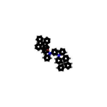 c1ccc(C2(c3ccccc3)c3ccccc3-c3cccc(-c4ccc5c(c4)c4ccccc4n5-c4ccc5c6ccccc6n(-c6cccc([Si](c7ccccc7)(c7ccccc7)c7ccccc7)c6)c5c4)c32)cc1